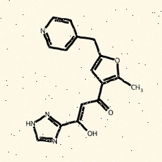 Cc1oc(Cc2ccncc2)cc1C(=O)C=C(O)c1nc[nH]n1